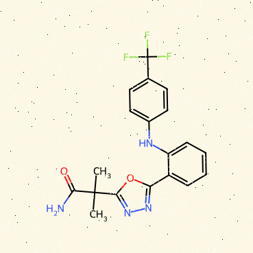 CC(C)(C(N)=O)c1nnc(-c2ccccc2Nc2ccc(C(F)(F)F)cc2)o1